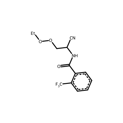 CCOOCC(C#N)NC(=O)c1ccccc1C(F)(F)F